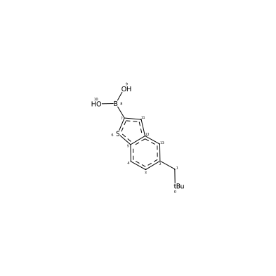 CC(C)(C)Cc1ccc2sc(B(O)O)cc2c1